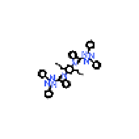 CCCc1cc(-n2cc(-c3nc(-c4ccccc4)nc(-c4ccccc4)n3)c3ccccc32)c(CCC)cc1-n1cc(-c2nc(-c3ccccc3)nc(-c3ccccc3)n2)c2ccccc21